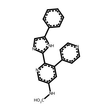 O=C(O)Nc1cnc(-c2ncc(-c3ccccc3)[nH]2)c(-c2ccncc2)c1